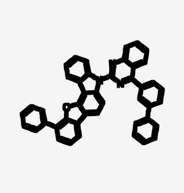 c1ccc(-c2cccc(-c3nc(-n4c5ccccc5c5c6oc7c(-c8ccccc8)cccc7c6ccc54)nc4ccccc34)c2)cc1